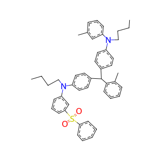 CCCCN(c1ccc(C(c2ccc(N(CCCC)c3cccc(S(=O)(=O)c4ccccc4)c3)cc2)c2ccccc2C)cc1)c1cccc(C)c1